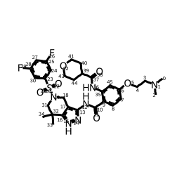 CN(C)CCOc1ccc(C(=O)Nc2n[nH]c3c2CN(S(=O)(=O)c2cc(F)cc(F)c2)CC3(C)C)c(NC(=O)C2CCOCC2)c1